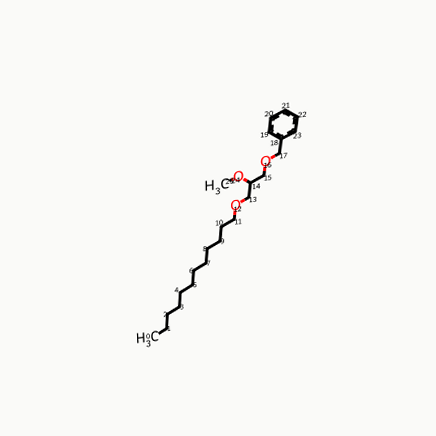 CCCCCCCCCCCCOCC(COCc1ccccc1)OC